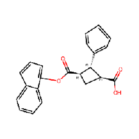 O=C(O)[C@H]1C[C@@H](C(=O)Oc2cccc3ccccc23)[C@@H]1c1ccccc1